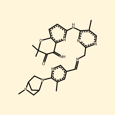 Cc1cnc(C/N=C/c2cnc(N3CC4CC3CN4C)c(C)c2)nc1Nc1ccc2c(n1)C(=N)C(=O)C(C)(C)O2